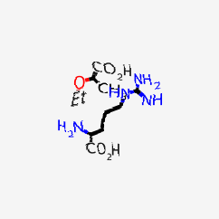 CCOC(C)C(=O)O.N=C(N)NCCC[C@H](N)C(=O)O